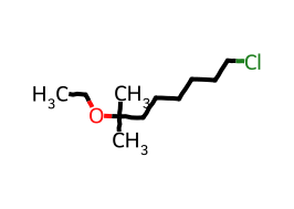 CCOC(C)(C)CCCCCCCl